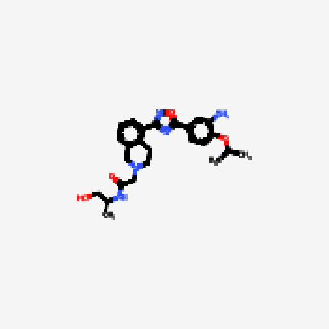 CC(C)Oc1ccc(-c2nc(-c3cccc4c3CCN(CC(=O)N[C@@H](C)CO)C4)no2)cc1N